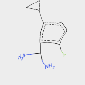 NC(N)c1cc(C2CC2)ccc1F